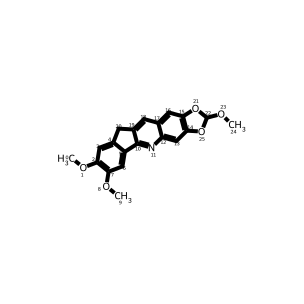 COc1cc2c(cc1OC)-c1nc3cc4c(cc3cc1C2)OC(OC)O4